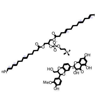 CCC/C=C/C=C/CC/C=C/CCCCC(=O)OCC(COC(=O)CC/C=C/CCC/C=C/C/C=C/CCC)OP(=O)([O-])OCC[N+](C)(C)C.COc1cc(C2Oc3cc([C@H]4Oc5cc(O)cc(O)c5C(=O)[C@@H]4O)ccc3OC2CO)ccc1O